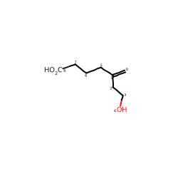 C=C(CCO)CCCC(=O)O